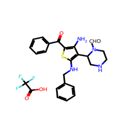 Nc1c(C(=O)c2ccccc2)sc(NCc2ccccc2)c1C1CNCCN1C=O.O=C(O)C(F)(F)F